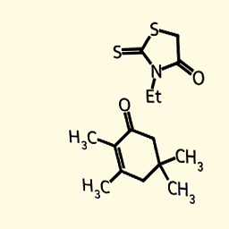 CC1=C(C)C(=O)CC(C)(C)C1.CCN1C(=O)CSC1=S